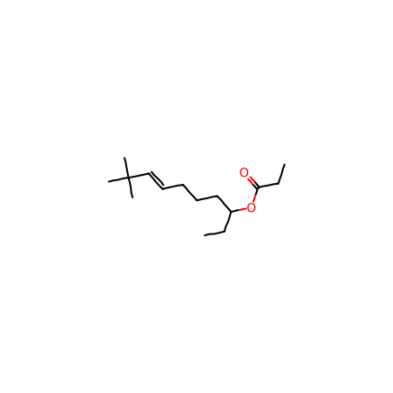 CCC(=O)OC(CC)CCCC=CC(C)(C)C